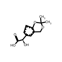 CC1(C)OCc2cc([C@@H](O)C(=O)O)ccc2O1